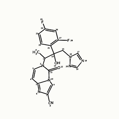 CC(n1ccc2nc(C#N)cn2c1=O)C(O)(Cn1cncn1)c1ccc(F)cc1F